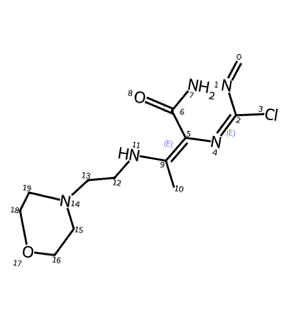 C=N/C(Cl)=N\C(C(N)=O)=C(/C)NCCN1CCOCC1